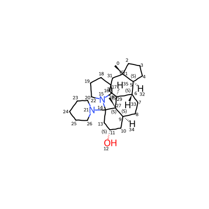 C[C@@]12CCC[C@H]1[C@@H]1CC[C@H]3C[C@H](O)CC(N4CCCCC4)(N4CCCCC4)[C@]3(C)[C@H]1CC2